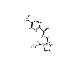 COc1ccc(C(=O)OC[C@H]2CCC[C@H]2OO)cc1